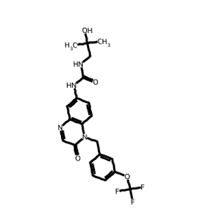 CC(C)(O)CNC(=O)Nc1ccc2c(c1)ncc(=O)n2Cc1cccc(OC(F)(F)F)c1